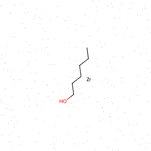 CCCCCCO.[Zr]